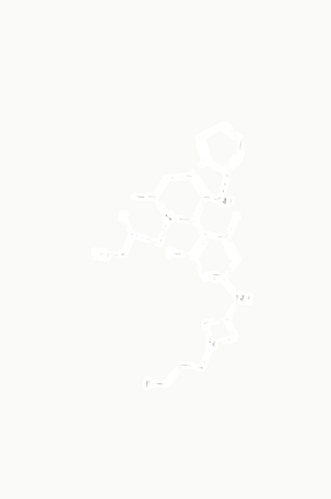 CC1Cc2c([nH]c3ccccc23)C(c2c(F)cc(NC3CN(CCCF)C3)cc2F)N1CC(F)CO